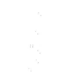 Cc1ccc(-c2nc(NC(=O)CNCCCN3CCCC3)cc(-c3nccs3)n2)o1